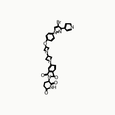 O=C1CCC(N2C(=O)c3ccc(N4CC(N5CC(Oc6ccc(-n7cc(Br)c(-c8ccncc8)n7)cc6)C5)C4)cc3C2=O)C(=O)N1